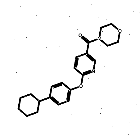 O=C(c1ccc(Oc2ccc(C3CCCCC3)cc2)nc1)N1CCOCC1